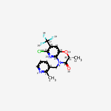 Cc1ncccc1CN1C(=O)[C@@H](C)Oc2cc(C(F)(F)F)c(Cl)nc21